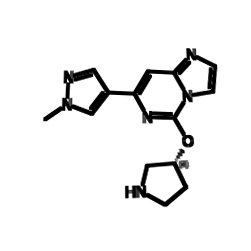 Cn1cc(-c2cc3nccn3c(O[C@@H]3CCNC3)n2)cn1